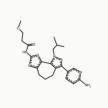 COCCC(=O)Nc1nc2c(s1)-c1c(c(-c3ccc(N)nc3)nn1CC(C)C)CCC2